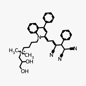 C[N+](C)(CCCCN1/C(=C/C=C(\C#N)C(c2ccccc2)C(C#N)C#N)C=C(c2ccccc2)c2ccccc21)CC(O)CO